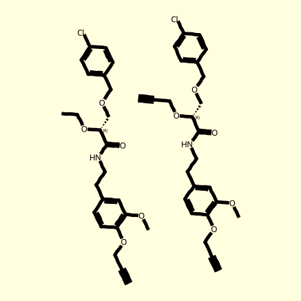 C#CCOc1ccc(CCNC(=O)[C@@H](COCc2ccc(Cl)cc2)OCC#C)cc1OC.C#CCOc1ccc(CCNC(=O)[C@@H](COCc2ccc(Cl)cc2)OCC)cc1OC